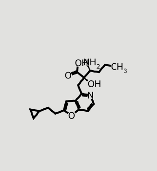 CCC[C@H](N)[C@](O)(Cc1nccc2oc(CCC3CC3)cc12)C(=O)O